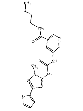 Cn1nc(-c2cccs2)cc1NC(=O)Nc1cncc(C(=O)NCCCN)c1